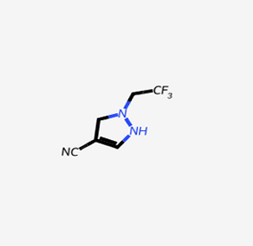 N#CC1=CNN(CC(F)(F)F)C1